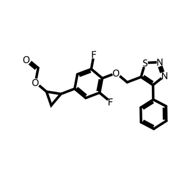 O=COC1CC1c1cc(F)c(OCc2snnc2-c2ccccc2)c(F)c1